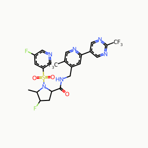 CC1C(F)CC(C(=O)NCc2cc(-c3cnc(C(F)(F)F)nc3)ncc2C(F)(F)F)N1S(=O)(=O)c1cncc(F)c1